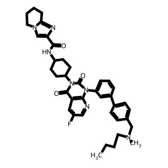 CCCCN(C)Cc1ccc(-c2cccc(-n3c(=O)n(C4CCC(NC(=O)c5cn6c(n5)CCCC6)CC4)c(=O)c4cc(F)cnc43)c2)cc1